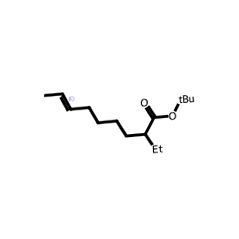 C/C=C/CCCCC(CC)C(=O)OC(C)(C)C